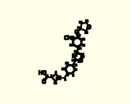 O=C(O)C1CN(Cc2ccc(-c3nc(-c4ccc(OC5CCOC5)c(Cl)c4)no3)cc2)C1